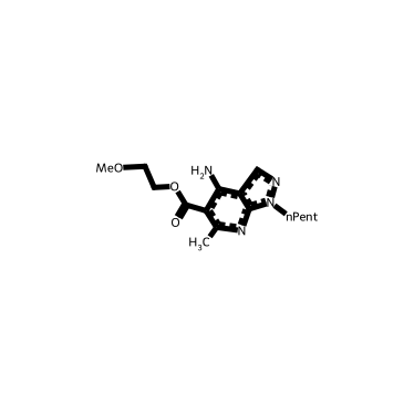 CCCCCn1ncc2c(N)c(C(=O)OCCOC)c(C)nc21